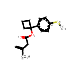 C=C(CC(=O)OC1(c2ccc(SC(F)(F)F)cc2)CCC1)C(=O)O